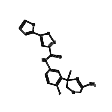 CC1(c2cc(NC(=O)c3cc(-c4ccco4)on3)ccc2F)COCC(N)=N1